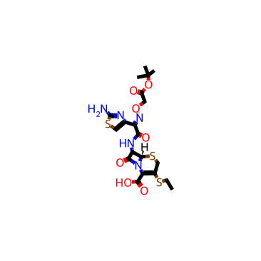 CCSC1=C(C(=O)O)N2C(=O)C(NC(=O)/C(=N/OCC(=O)OC(C)(C)C)c3csc(N)n3)[C@H]2SC1